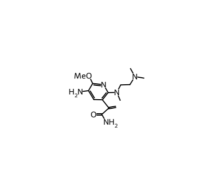 C=C(C(N)=O)c1cc(N)c(OC)nc1N(C)CCN(C)C